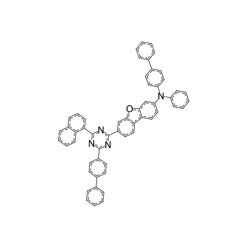 c1ccc(-c2ccc(-c3nc(-c4ccc5c(c4)oc4cc(N(c6ccccc6)c6ccc(-c7ccccc7)cc6)ccc45)nc(-c4cccc5ccccc45)n3)cc2)cc1